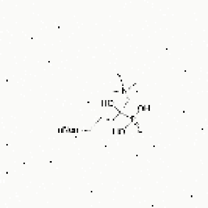 CCCCCCCCCCCCC(O)(C[N+](C)(C)C)P(=O)(O)O